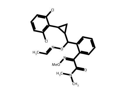 CC=NOC(c1ccccc1C(=NOC)C(=O)N(C)C)C1CC1c1c(Cl)cccc1Cl